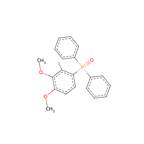 COc1ccc(P(=O)(c2ccccc2)c2ccccc2)c(I)c1OC